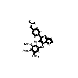 COc1cc(Nc2c(C#N)c(-c3ccc(CN(C)C)cc3)nc3ccsc23)cc(OC)c1OC